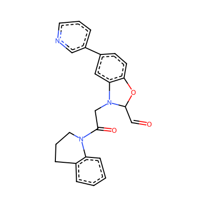 O=CC1Oc2ccc(-c3cccnc3)cc2N1CC(=O)N1CCCc2ccccc21